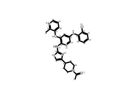 CC(=O)N1CCC(c2csc(Nc3ncc(Sc4ccccc4Cl)cc3Oc3cccnc3C)n2)CC1